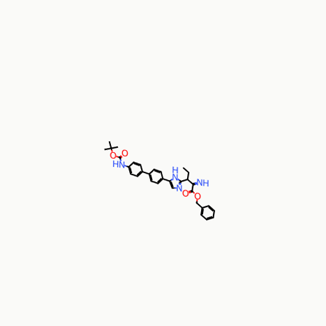 CCC(C(=N)C(=O)OCc1ccccc1)c1ncc(-c2ccc(-c3ccc(NC(=O)OC(C)(C)C)cc3)cc2)[nH]1